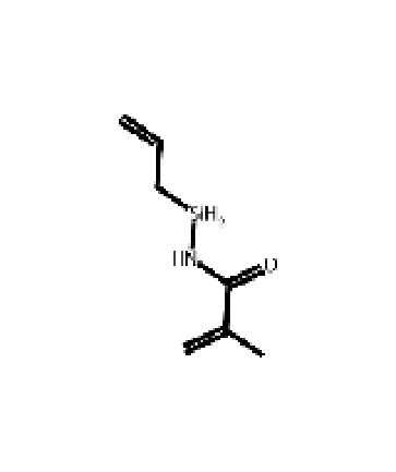 C=CC[SiH2]NC(=O)C(=C)C